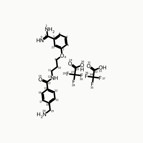 N=C(N)c1cccc(OCCCNC(=O)c2ccc(CN)cc2)c1.O=C(O)C(F)(F)F.O=C(O)C(F)(F)F